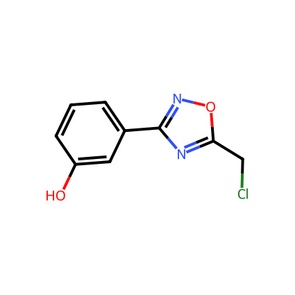 Oc1cccc(-c2noc(CCl)n2)c1